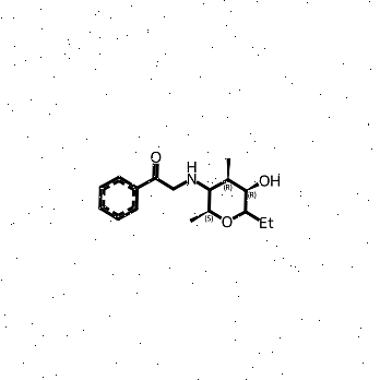 CCC1O[C@@H](C)C(NCC(=O)c2ccccc2)[C@@H](C)[C@H]1O